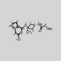 CC(C)(C)OC(=O)N[C@H]1C[C@@](C)(Oc2nc(Cl)cn3nccc23)C1